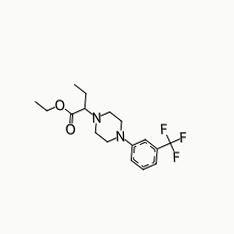 CCOC(=O)C(CC)N1CCN(c2cccc(C(F)(F)F)c2)CC1